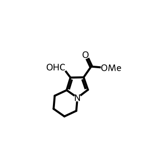 COC(=O)c1cn2c(c1C=O)CCCC2